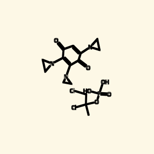 CC(Cl)(CCl)OP(=O)(O)O.O=C1C=C(N2CC2)C(=O)C(N2CC2)=C1N1CC1